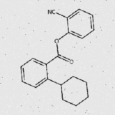 N#Cc1ccccc1OC(=O)c1ccccc1C1CCCCC1